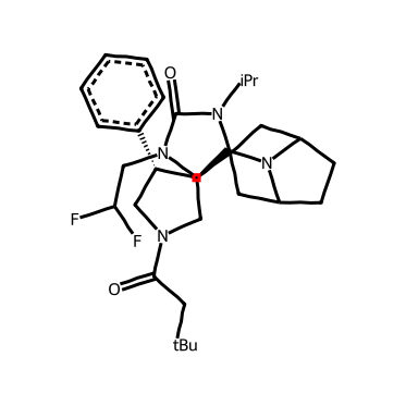 CC(C)N1C(=O)N(CC(F)F)CC12CC1CCC(C2)N1C[C@H]1CN(C(=O)CC(C)(C)C)C[C@@H]1c1ccccc1